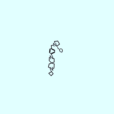 COC[C@@H]1CCCN1Cc1ccc(N2CCC3(CC2)CCN(C2CCC2)CC3)cc1